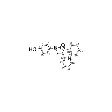 O=C(C(=CNc1ccc(O)cc1)c1ccccn1)c1ccccc1